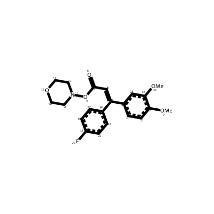 COc1ccc(C(=CC(=O)ON2CCOCC2)c2ccc(F)cc2)cc1OC